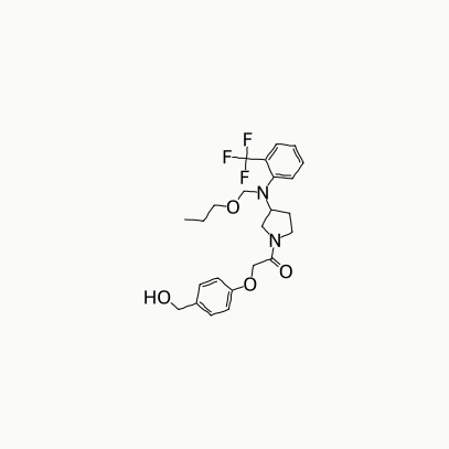 CCCOCN(c1ccccc1C(F)(F)F)C1CCN(C(=O)COc2ccc(CO)cc2)C1